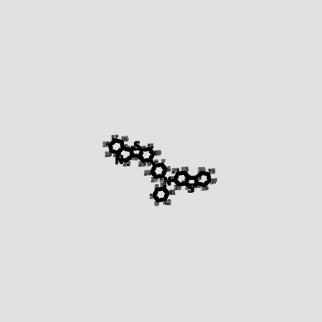 c1ccc(N(c2ccc(-c3ccc4sc5c6ccccc6ncc5c4c3)cc2)c2ccc3c(c2)sc2ccccc23)cc1